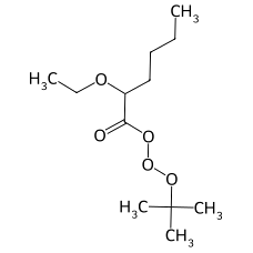 CCCCC(OCC)C(=O)OOOC(C)(C)C